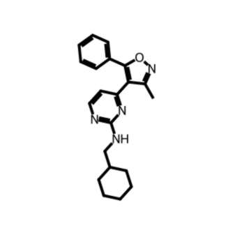 Cc1noc(-c2ccccc2)c1-c1ccnc(NCC2CCCCC2)n1